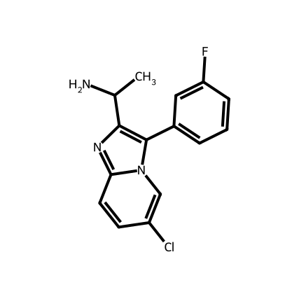 CC(N)c1nc2ccc(Cl)cn2c1-c1cccc(F)c1